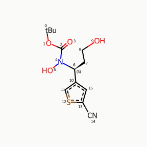 CC(C)(C)OC(=O)N(O)[C@@H](CCO)c1csc(C#N)c1